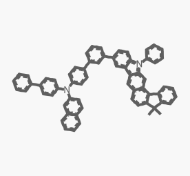 CC1(C)c2ccccc2-c2c1ccc1cc3c4cc(-c5cccc(-c6ccc(N(c7ccc(-c8ccccc8)cc7)c7ccc8ccccc8c7)cc6)c5)ccc4n(-c4ccccc4)c3cc21